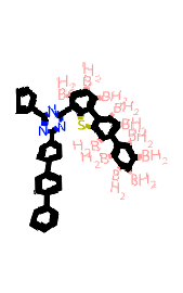 Bc1c(B)c(B)c(-c2c(B)c(B)c3c(sc4c(-c5nc(-c6ccccc6)nc(-c6ccc(-c7ccc(-c8ccccc8)cc7)cc6)n5)c(B)c(B)c(B)c43)c2B)c(B)c1B